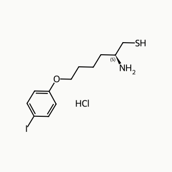 Cl.N[C@H](CS)CCCCOc1ccc(I)cc1